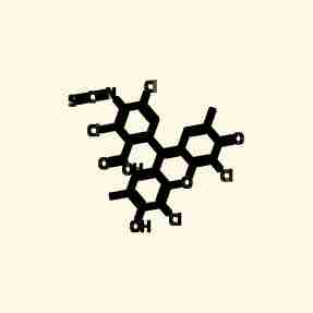 Cc1cc2c(-c3cc(Cl)c(N=C=S)c(Cl)c3C(=O)O)c3cc(C)c(=O)c(Cl)c-3oc2c(Cl)c1O